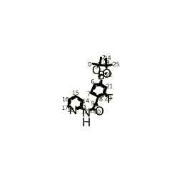 CC1(C)OB(c2ccc(C3OC3Nc3ccccn3)c(F)c2)OC1(C)C